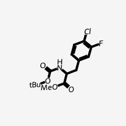 COC(=O)C(Cc1ccc(Cl)c(F)c1)NC(=O)OC(C)(C)C